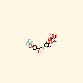 CCC(C(=O)O)C(C)COc1c(C)cc(CCC(=O)c2ccc(OC(F)(F)F)cc2)cc1C